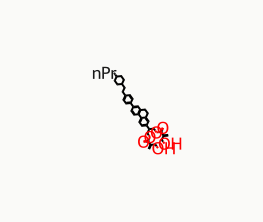 C=C(CO)C(=O)OCC(COC(=O)C(=C)CO)c1ccc2c(c1)CCc1cc(-c3ccc(CCC4CCC(CCC)CC4)cc3)ccc1-2